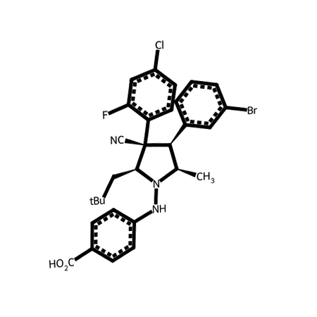 C[C@@H]1[C@H](c2cccc(Br)c2)[C@@](C#N)(c2ccc(Cl)cc2F)[C@H](CC(C)(C)C)N1Nc1ccc(C(=O)O)cc1